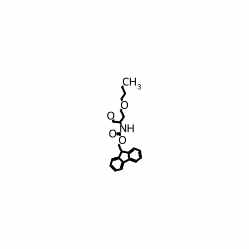 CCCCOCCC(C=O)NC(=O)OCC1c2ccccc2-c2ccccc21